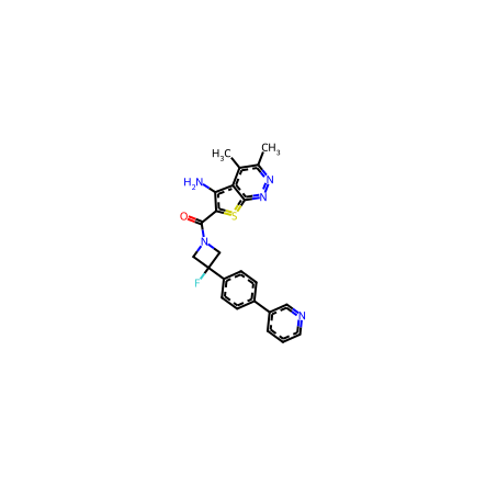 Cc1nnc2sc(C(=O)N3CC(F)(c4ccc(-c5cccnc5)cc4)C3)c(N)c2c1C